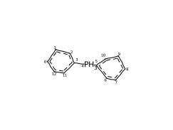 c1ccc([PH3]c2ccccc2)cc1